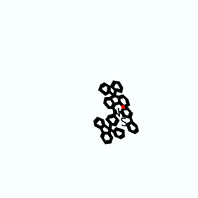 c1ccc(C2(c3ccc(N(c4cccc5c4-c4ccccc4C5(c4ccccc4)c4ccccc4)c4cccc5c4sc4ccccc45)cc3)c3ccccc3-c3ccccc32)cc1